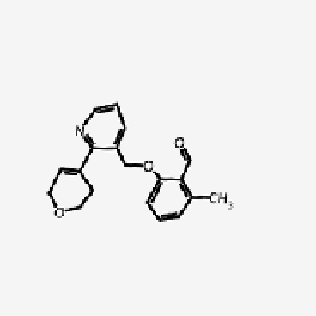 Cc1cccc(OCc2cccnc2C2=CCOCC2)c1C=O